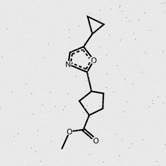 COC(=O)C1CCC(c2ncc(C3CC3)o2)C1